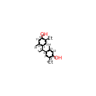 CCc1cc(C(C)c2cc(CC)c(O)cc2C)c(C)cc1O